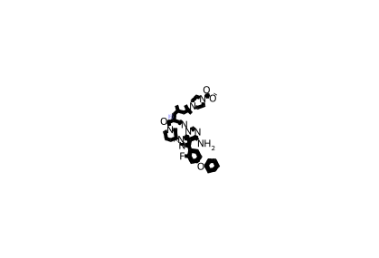 COC(=O)N1CCN(C(C)(C)CC(C)/C=C(\C#N)C(=O)N2CCC[C@@H](n3nc(-c4ccc(Oc5ccccc5)cc4F)c4c(N)ncnc43)C2)CC1